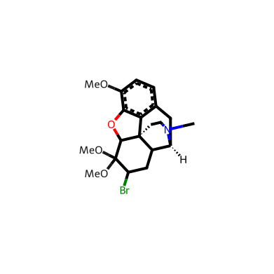 COc1ccc2c3c1OC1C(OC)(OC)C(Br)CC4[C@H](C2)N(C)CC[C@]341